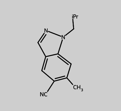 Cc1cc2c(cnn2CC(C)C)cc1C#N